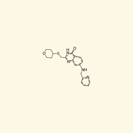 O=c1[nH]c(CSC2CCOCC2)nc2cc(NCc3ccccn3)ccc12